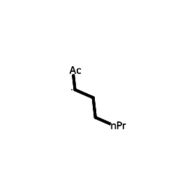 [CH2]CCCC[CH]C(C)=O